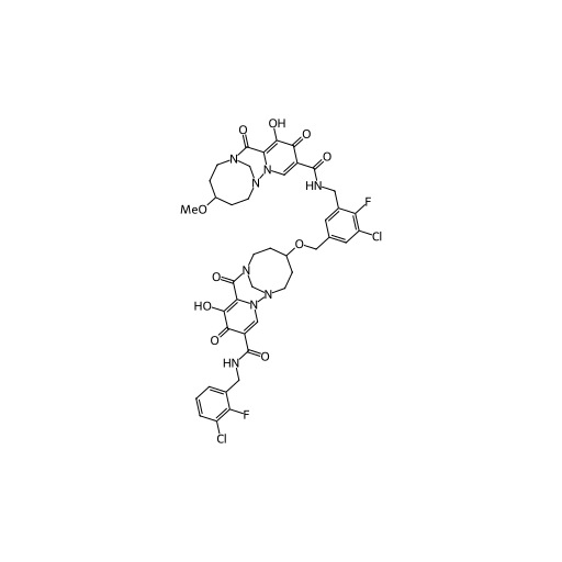 COC1CCN2CN(CC1)n1cc(C(=O)NCc3cc(COC4CCN5CN(CC4)n4cc(C(=O)NCc6cccc(Cl)c6F)c(=O)c(O)c4C5=O)cc(Cl)c3F)c(=O)c(O)c1C2=O